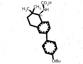 CC(C)COc1ccc(-c2ccc3c(c2)CCC(C)(C)[C@H]3NC(=O)O)cc1